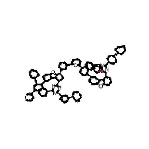 c1ccc(-c2ccc(-c3nc(-c4ccccc4)nc(-c4cccc5oc6ccc(-c7ccc(-c8cccc(-c9cccc(-c%10ccc(-c%11nc(-c%12ccccc%12)nc(-c%12cccc(-c%13ccccc%13)c%12)n%11)c%11c%10oc%10ccc(-c%12ccc(-c%13ccccc%13)cc%12-c%12ccccc%12)cc%10%11)c9)c8)cc7-c7ccccc7)cc6c45)n3)cc2)cc1